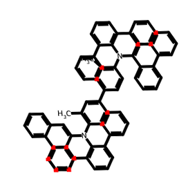 Cc1cc(-c2ccc(N(c3c(-c4ccccc4)cccc3-c3ccccc3)c3cc4ccccc4c4ccccc34)c(C)c2)ccc1N(c1c(-c2ccccc2)cccc1-c1ccccc1)c1cc2ccccc2c2ccccc12